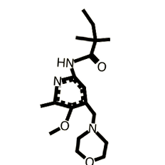 CCC(C)(C)C(=O)Nc1cc(CN2CCOCC2)c(OC)c(C)n1